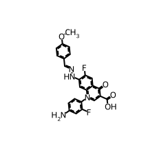 COc1ccc(/C=N/Nc2cc3c(cc2F)c(=O)c(C(=O)O)cn3-c2ccc(N)cc2F)cc1